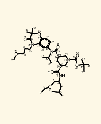 CCOCC(CC(C)C)NC(=O)[C@H]1C[C@@H](C(=O)N(c2ccc3c(c2)N(CCCOC)C(=O)C(C)(C)O3)C(C)C)CN(C(=O)OC(C)(C)C)C1